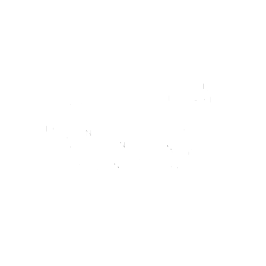 C[Si](C)(C)CCOCn1c(=O)oc2ccc(C3=NC=C4C(NC(C(=O)O)C5CC5)=COCC5=C4N3CC5)cc21